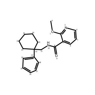 COc1ncccc1C(=O)NCC1(c2ccccc2)CCCCC1